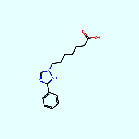 O=C(O)CCCCCCN1C=NC(c2ccccc2)N1